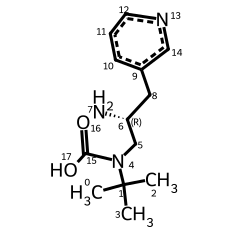 CC(C)(C)N(C[C@H](N)Cc1cccnc1)C(=O)O